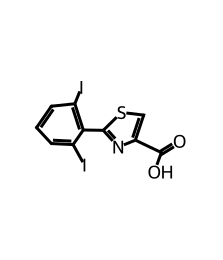 O=C(O)c1csc(-c2c(I)cccc2I)n1